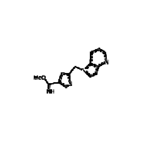 COC(=N)c1csc(Cn2ccc3ncccc32)c1